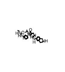 CCNC(=O)Nc1cc(-n2c3nc(Nc4ccc5c(c4)CCNC5)ncc3c(=O)n2C(C)C)ccn1